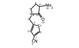 N#Cc1csc(CN2CCC(N)C2=O)c1